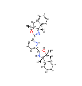 c1cc(C2=N[C@H]3c4ccccc4C[C@H]3O2)nc(C2=N[C@H]3c4ccccc4C[C@H]3O2)c1